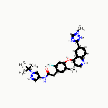 Cc1cc(CC(=O)Nc2cnn(C(C)(C)C)c2)c(F)cc1Oc1ccnc2ccc(-c3ncn(C)n3)cc12